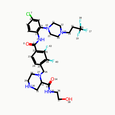 O=C(Nc1ccc(Cl)cc1N1CCN(CCC(F)(F)F)CC1)c1ccc(CN2CCNCC2C(=O)NCCO)c(F)c1F